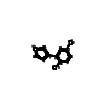 Clc1ccc(Cl)c(-c2ccoc2)c1